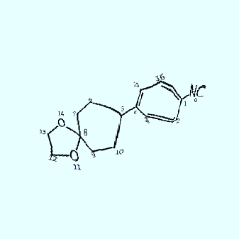 [C-]#[N+]c1ccc(C2CCC3(CC2)OCCO3)cc1